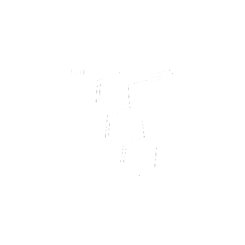 N#Cc1cc(N)cc2cc3ccccc3cc12